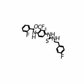 O=C(Nc1ccc(NC(=S)NCCc2ccc(F)cc2)cc1C(F)(F)F)c1ccccc1F